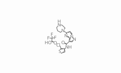 O=C(Nc1ccsc1Cl)c1cnn2ccc(N3CCCNCC3)nc12.O=C(O)C(F)(F)F